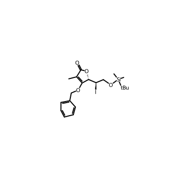 CC1=C(OCc2ccccc2)[C@@H]([C@H](I)CO[Si](C)(C)C(C)(C)C)OC1=O